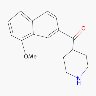 COc1cccc2ccc(C(=O)C3CCNCC3)cc12